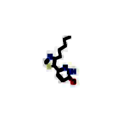 CCCCCc1ncsc1-c1ccc(=O)[nH]n1